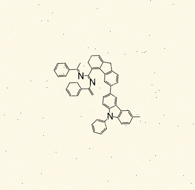 C=C(/N=C(\N=C(/C)c1ccccc1)C1=C2C(=CCC1)Cc1ccc(-c3ccc4c(c3)c3cc(C)ccc3n4-c3ccccc3)cc12)C1=CC=CCC1